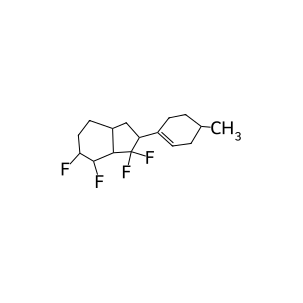 CC1CC=C(C2CC3CCC(F)C(F)C3C2(F)F)CC1